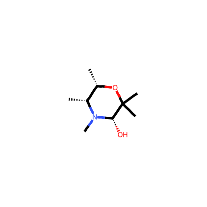 C[C@@H]1OC(C)(C)[C@H](O)N(C)[C@@H]1C